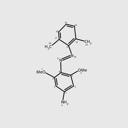 COc1cc(N)cc(OC)c1N=Nc1c(C)cccc1C